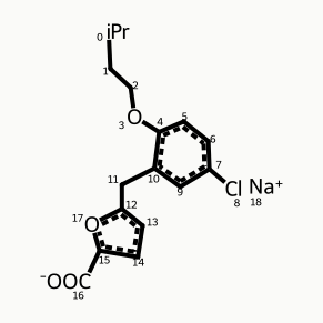 CC(C)CCOc1ccc(Cl)cc1Cc1ccc(C(=O)[O-])o1.[Na+]